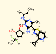 COC[C@@H](C)Nc1nc(C)c(-c2nc3c(C4CC4)nccc3s2)c(N[C@@H]2C[C@H](C(C)(F)F)[C@@H](O)[C@H]2O)n1